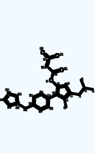 Cc1c(CC(C)C)sc(OC(=O)N=S(=O)=O)c1-c1ccc(Cn2ccnc2)cc1